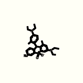 CCN(CC)c1ccc(C(c2ccc(N(CC)CC)cc2C)c2ccccc2S(=O)(=O)[O-])c(C)c1.[Na+]